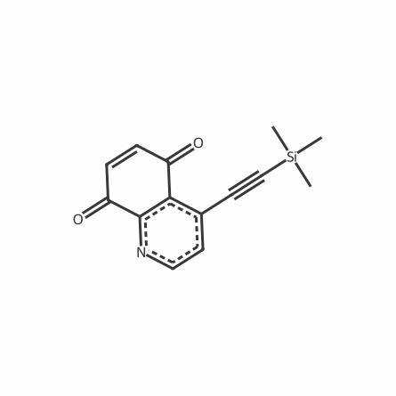 C[Si](C)(C)C#Cc1ccnc2c1C(=O)C=CC2=O